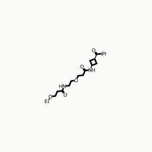 CCOCCC(=O)NCCOCCC(=O)N[C@H]1C[C@@H](C(=O)C(C)C)C1